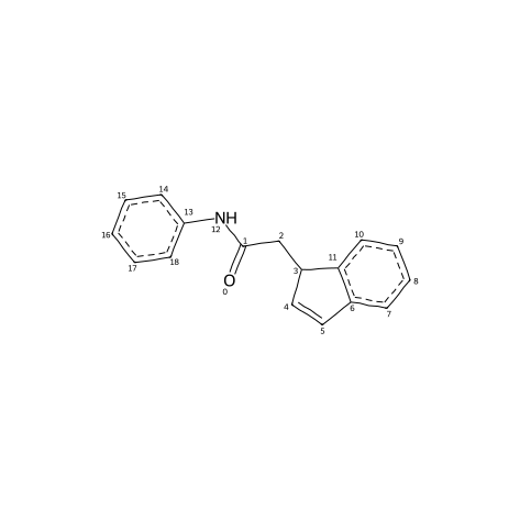 O=C(CC1C=Cc2ccccc21)Nc1ccccc1